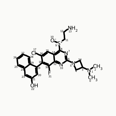 CN(C)C1CN(c2nc([S+]([O-])CCN)c3cc(Cl)c(-c4cc(O)cc5ccccc45)c(F)c3n2)C1